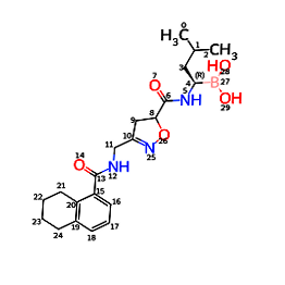 CC(C)C[C@H](NC(=O)C1CC(CNC(=O)c2cccc3c2CCCC3)=NO1)B(O)O